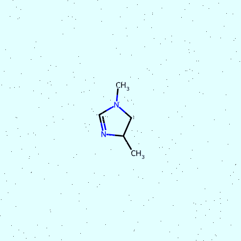 CC1[C]N(C)[C]=N1